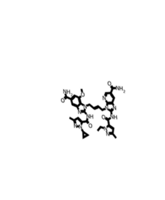 CCn1nc(C)cc1C(=O)Nc1nc2cc(C(N)=O)cnc2n1CC=CCn1c(NC(=O)c2cc(C)nn2C2CC2)nc2cc(C(N)=O)cc(OC)c21